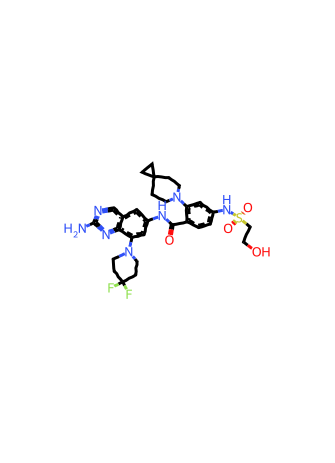 Nc1ncc2cc(NC(=O)c3ccc(NS(=O)(=O)CCO)cc3N3CCC4(CC3)CC4)cc(N3CCC(F)(F)CC3)c2n1